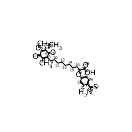 COC1=C(OC)C(=O)C(CCCCCCCCC(Oc2ccc(C(N)=S)cc2)C(=O)O)=C(C)C1=O